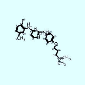 Cc1ccc(F)c(Nc2ccnc(Nc3ccc(OCCCN(C)C)cc3)n2)c1